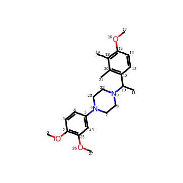 COc1ccc(N2CCN(C(C)c3ccc(OC)c(C)c3C)CC2)cc1OC